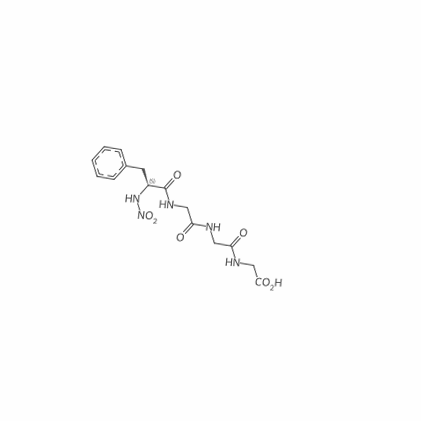 O=C(O)CNC(=O)CNC(=O)CNC(=O)[C@H](Cc1ccccc1)N[N+](=O)[O-]